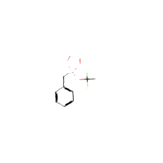 CCO[Si](Cc1ccccc1)(OCC)OC(F)(F)C(F)(F)F